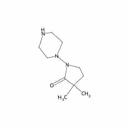 CC1(C)CCN(N2CCNCC2)C1=O